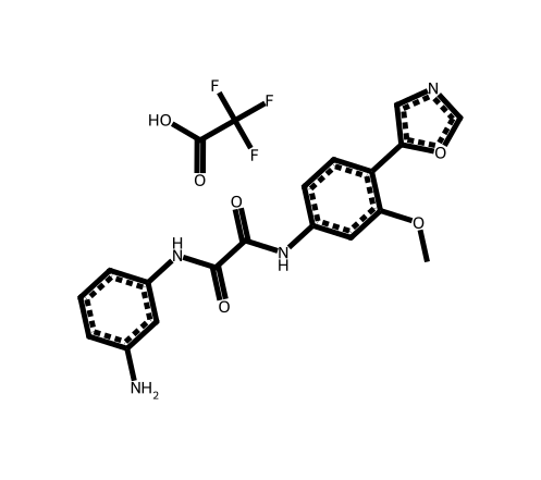 COc1cc(NC(=O)C(=O)Nc2cccc(N)c2)ccc1-c1cnco1.O=C(O)C(F)(F)F